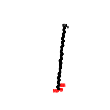 CCCCCCCCCCCCCCCCCCCCCCCCCCCC(O)CC(=O)O